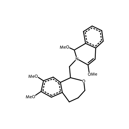 COC1=Cc2ccccc2C(OC)N1CC1OCCCc2cc(OC)c(OC)cc21